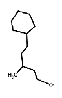 CC(CC[O])CCC1CCCCC1